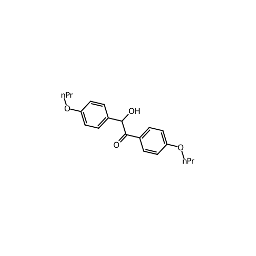 CCCOc1ccc(C(=O)C(O)c2ccc(OCCC)cc2)cc1